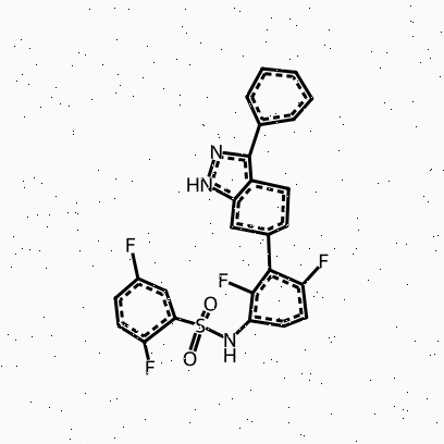 O=S(=O)(Nc1ccc(F)c(-c2ccc3c(-c4ccccc4)n[nH]c3c2)c1F)c1cc(F)ccc1F